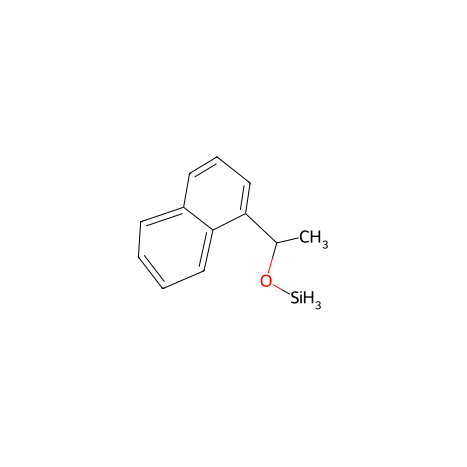 CC(O[SiH3])c1cccc2ccccc12